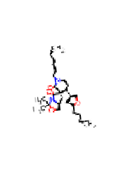 C=CCCCCN1CC[C@@H](c2coc(CCC=C)c2)[C@]2(CC3COC(C)(C)N3C2=O)C1=O